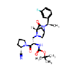 C[C@H](c1cccc(F)c1)N1C(=O)[C@@H]2CC1CN2C[C@H](NC(=O)OC(C)(C)C)C(=O)N1CCC[C@H]1C#N